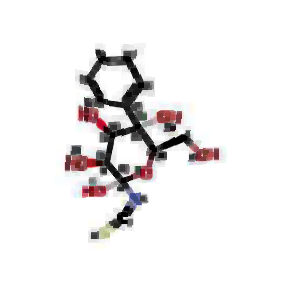 OC[C@H]1O[C@@](O)(N=C=S)[C@@H](O)[C@@H](O)[C@@]1(O)c1ccccc1